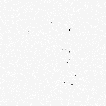 CCO[C@H](C)C(CC)C1=CC[C@@H](COC)O1